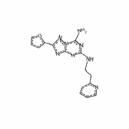 Nc1nc(NCCc2ccccn2)nc2nc(-c3ccco3)nn12